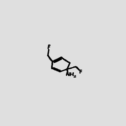 NC1(CF)C=CC(CF)=CC1